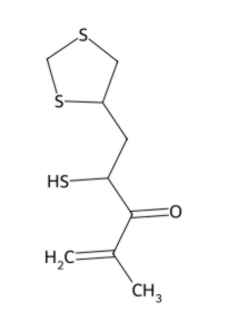 C=C(C)C(=O)C(S)CC1CSCS1